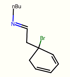 CCCCN=CCC1(Br)C=CC=CC1